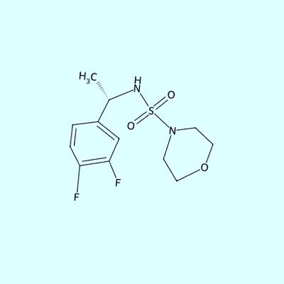 C[C@H](NS(=O)(=O)N1CCOCC1)c1ccc(F)c(F)c1